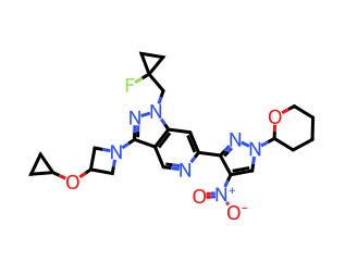 O=[N+]([O-])c1cn(C2CCCCO2)nc1-c1cc2c(cn1)c(N1CC(OC3CC3)C1)nn2CC1(F)CC1